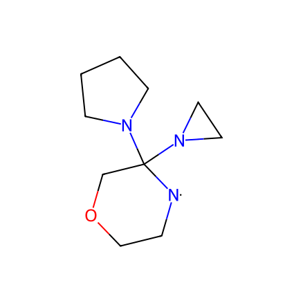 C1CCN(C2(N3CC3)COCC[N]2)C1